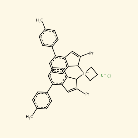 Cc1ccc(-c2cccc3c2C=C(C(C)C)[CH]3[Ti+2]2([CH]3C(C(C)C)=Cc4c(-c5ccc(C)cc5)cccc43)[CH2]C[CH2]2)cc1.[Cl-].[Cl-]